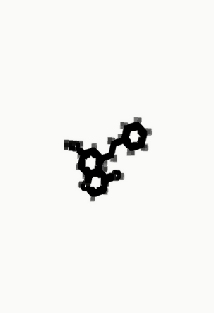 O=c1ccoc2cc(O)cc(CCc3ccccc3)c12